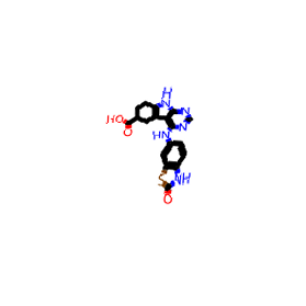 O=C(O)C1CCc2[nH]c3ncnc(Nc4ccc5[nH]c(=O)sc5c4)c3c2C1